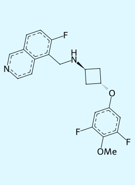 COc1c(F)cc(O[C@H]2C[C@H](NCc3c(F)ccc4cnccc34)C2)cc1F